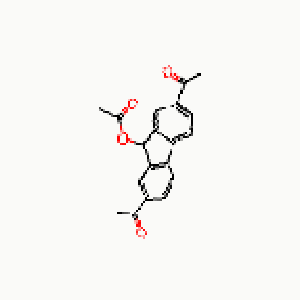 CC(=O)OC1c2cc(C(C)=O)ccc2-c2ccc(C(C)=O)cc21